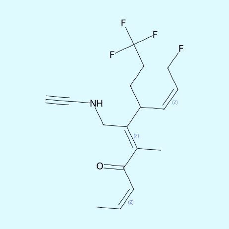 C#CNC/C(=C(/C)C(=O)/C=C\C)C(/C=C\CF)CCC(F)(F)F